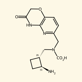 N[C@H]1CC[C@@H]1CN(Cc1ccc2c(n1)NC(=O)CO2)C(=O)O